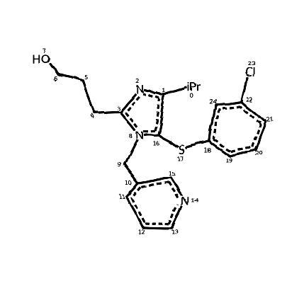 CC(C)c1nc(CCCO)n(Cc2cccnc2)c1Sc1cccc(Cl)c1